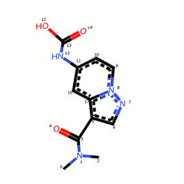 CN(C)C(=O)c1cnn2ccc(NC(=O)O)cc12